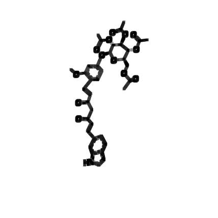 COc1cc(O[C@@H]2O[C@H](COC(C)=O)[C@@H](OC(C)=O)[C@H](OC(C)=O)[C@H]2OC(C)=O)ccc1/C=C/C(=O)CC(=O)/C=C/c1ccc2cc[nH]c2c1